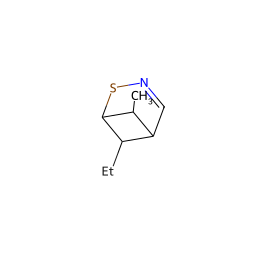 CCC1C2C=NSC1C2C